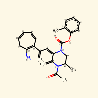 C=C(/C=C1\C(=C)N(C(C)=O)C(C)CN1C(=O)Oc1ccccc1C)C1=C(N)CC=CC=C1